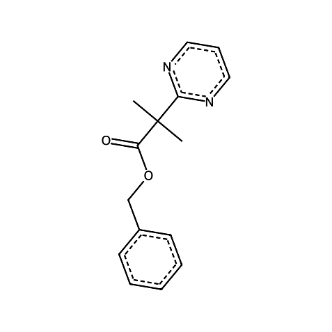 CC(C)(C(=O)OCc1ccccc1)c1ncccn1